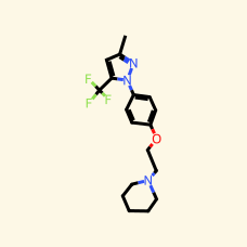 Cc1cc(C(F)(F)F)n(-c2ccc(OCCN3CCCCC3)cc2)n1